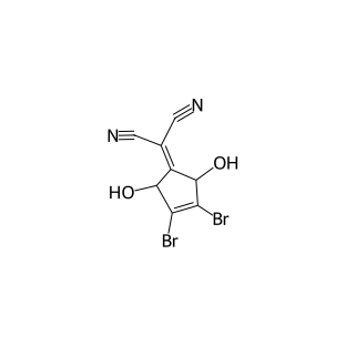 N#CC(C#N)=C1C(O)C(Br)=C(Br)C1O